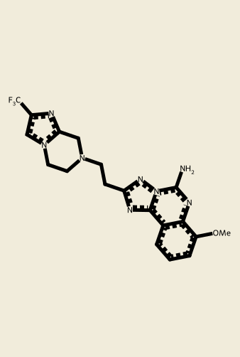 COc1cccc2c1nc(N)n1nc(CCN3CCn4cc(C(F)(F)F)nc4C3)nc21